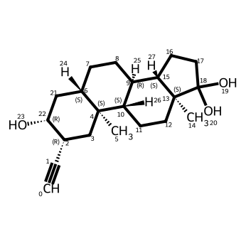 C#C[C@H]1C[C@@]2(C)[C@@H](CC[C@@H]3[C@@H]2CC[C@@]2(C)[C@H]3CCC2(O)O)C[C@H]1O